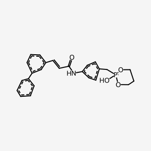 O=C(C=Cc1cccc(-c2ccccc2)c1)Nc1ccc(C[P]2(O)OCCCO2)cc1